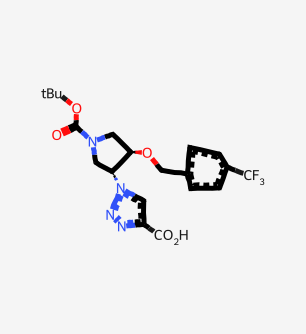 CC(C)(C)OC(=O)N1C[C@@H](n2cc(C(=O)O)nn2)[C@H](OCc2ccc(C(F)(F)F)cc2)C1